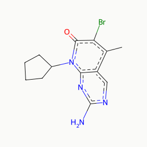 Cc1c(Br)c(=O)n(C2CCCC2)c2nc(N)ncc12